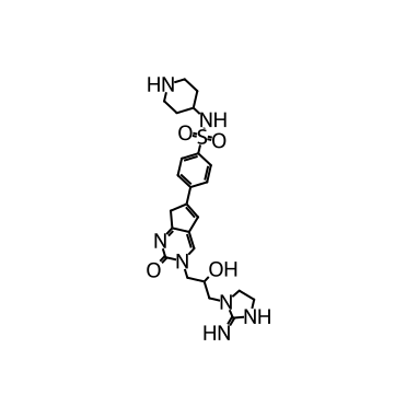 N=C1NCCN1CC(O)Cn1cc2c(nc1=O)CC(c1ccc(S(=O)(=O)NC3CCNCC3)cc1)=C2